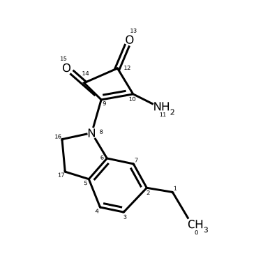 CCc1ccc2c(c1)N(c1c(N)c(=O)c1=O)CC2